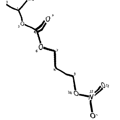 CC(Cl)OC(=O)OCCCO[N+](=O)[O-]